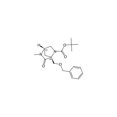 CN1C(=O)[C@]2(COCc3ccccc3)C[C@H]1CN2C(=O)OC(C)(C)C